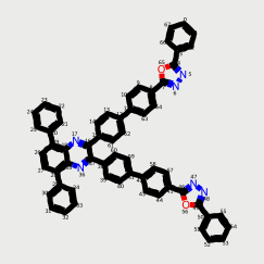 c1ccc(-c2nnc(-c3ccc(-c4ccc(-c5nc6c(-c7ccccc7)ccc(-c7ccccc7)c6nc5-c5ccc(-c6ccc(-c7nnc(-c8ccccc8)o7)cc6)cc5)cc4)cc3)o2)cc1